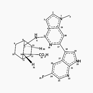 Cn1ccc2c(N[C@@H]3C4CCC(CC4)[C@H]3C(=O)O)nc(-c3c[nH]c4ncc(F)cc34)cc21